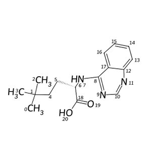 CC(C)(C)CC[C@H](Nc1ncnc2ccccc12)C(=O)O